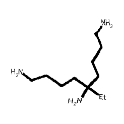 CCC(N)(CCCCN)CCCCN